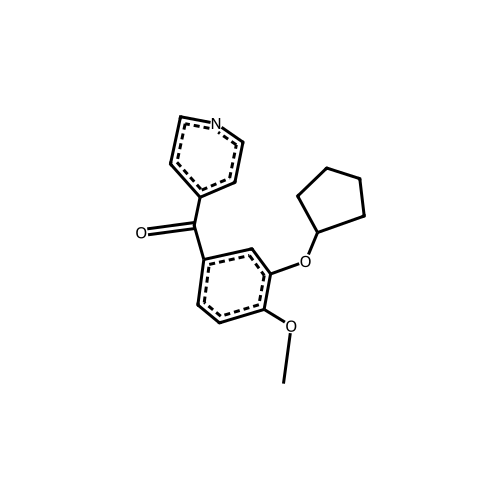 COc1ccc(C(=O)c2ccncc2)cc1OC1CCCC1